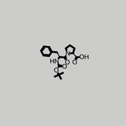 CC(C)(C)OC(=O)N[C@@H](Cc1ccccc1)C(=O)N1CCC[C@H]1C(=O)O